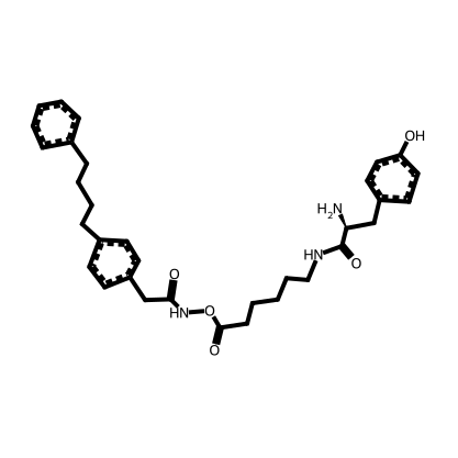 N[C@@H](Cc1ccc(O)cc1)C(=O)NCCCCCC(=O)ONC(=O)Cc1ccc(CCCCc2ccccc2)cc1